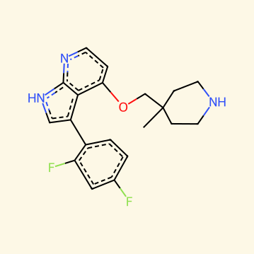 CC1(COc2ccnc3[nH]cc(-c4ccc(F)cc4F)c23)CCNCC1